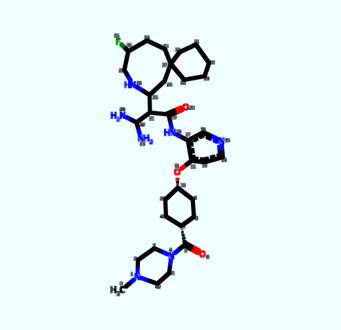 CN1CCN(C(=O)[C@H]2CC[C@@H](Oc3ccncc3NC(=O)C(C(N)N)C3CC4(CCCCC4)CCC(F)CN3)CC2)CC1